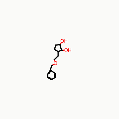 OC1CCC(CCOCc2ccccc2)C1O